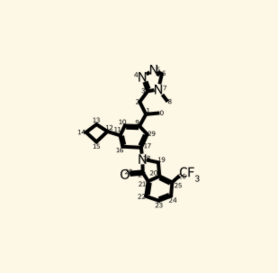 CC(Cc1nncn1C)c1cc(C2CCC2)cc(N2Cc3c(cccc3C(F)(F)F)C2=O)c1